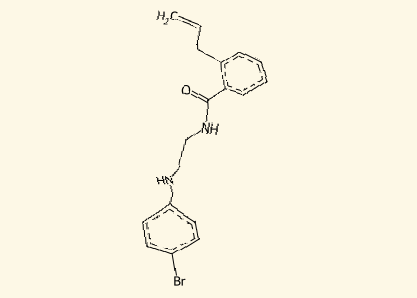 C=CCc1ccccc1C(=O)NCCNc1ccc(Br)cc1